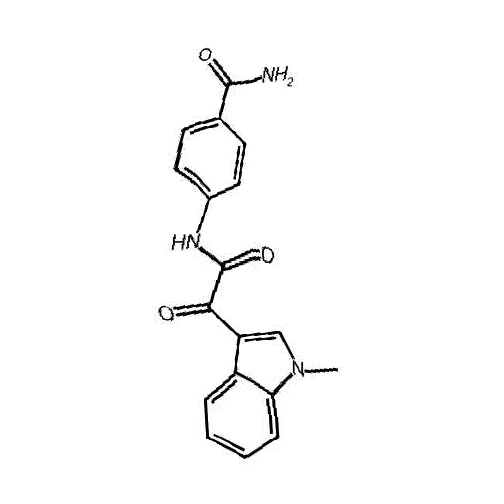 Cn1cc(C(=O)C(=O)Nc2ccc(C(N)=O)cc2)c2ccccc21